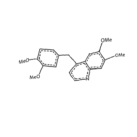 COc1ccc(Cc2ccnc3cc(OC)c(OC)cc23)cc1OC